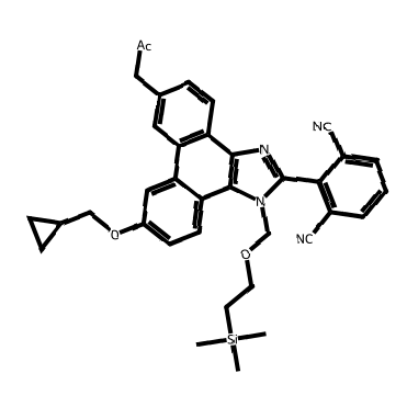 CC(=O)Cc1ccc2c(c1)c1cc(OCC3CC3)ccc1c1c2nc(-c2c(C#N)cccc2C#N)n1COCC[Si](C)(C)C